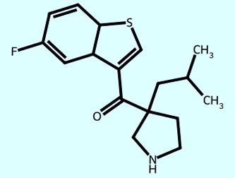 CC(C)CC1(C(=O)C2=CSC3C=CC(F)=CC23)CCNC1